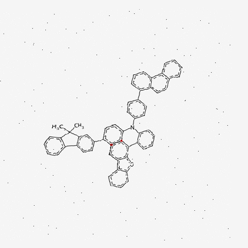 CC1(C)c2ccccc2-c2ccc(-c3ccc(N(c4ccc(-c5cccc6c5ccc5ccccc56)cc4)c4ccccc4-c4cccc5c4oc4ccccc45)cc3)cc21